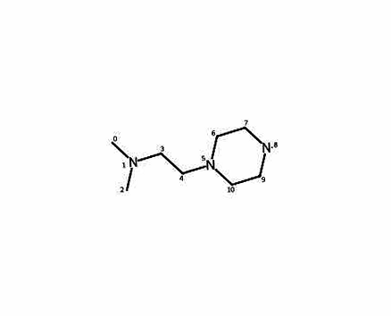 CN(C)CCN1CC[N]CC1